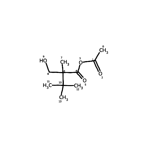 CC(=O)OC(=O)C(C)(CO)C(C)(C)C